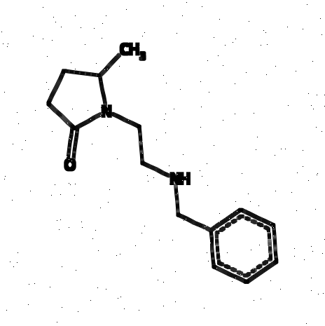 CC1CCC(=O)N1CCNCc1ccccc1